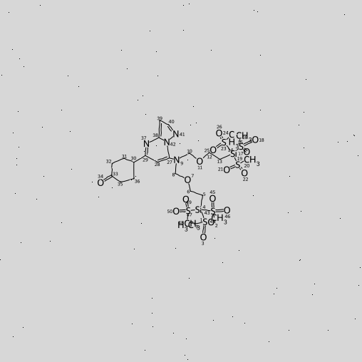 CS(=O)(=O)[Si](CCOCN(COCC[Si](S(C)(=O)=O)(S(C)(=O)=O)S(C)(=O)=O)c1cc(C2CCC(=O)CC2)nc2ccnn12)(S(C)(=O)=O)S(C)(=O)=O